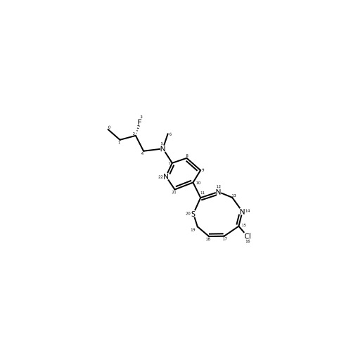 CC[C@H](F)CN(C)c1ccc(/C2=N/C/N=C(Cl)\C=C/CS2)cn1